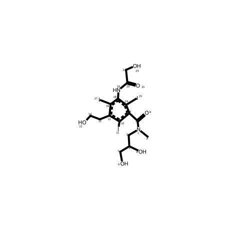 CN(CC(O)CO)C(=O)c1c(I)c(CCO)c(I)c(NC(=O)CO)c1I